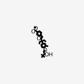 CCC(CC)(c1ccc(OCC(O)C(C)(C)C)c(C)c1)c1cc2ccc(C(=O)OC)cc2o1